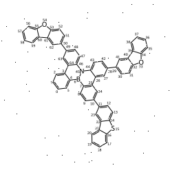 c1ccc2c(c1)B1c3ccc(-c4ccc5sc6ccccc6c5c4)cc3-c3cc(-c4ccc5oc6ccccc6c5c4)ccc3N1c1ccc(-c3ccc4oc5ccccc5c4c3)cc1-2